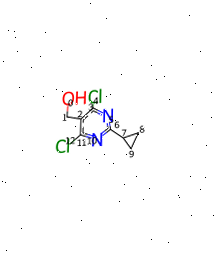 OCc1c(Cl)nc(C2CC2)nc1Cl